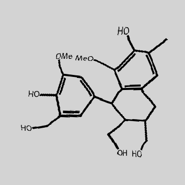 COc1cc(C2c3c(cc(C)c(O)c3OC)CC(CO)C2CO)cc(CO)c1O